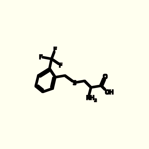 NC(CSCc1ccccc1C(F)(F)F)C(=O)O